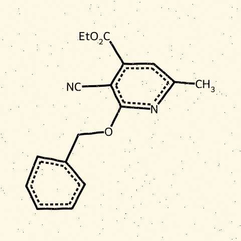 CCOC(=O)c1cc(C)nc(OCc2ccccc2)c1C#N